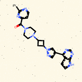 CC(C)c1nccc(C(=O)N2CCN(C3C[C](n4cc(-c5ncnc6[nH]ccc56)cn4)C3)CC2)n1